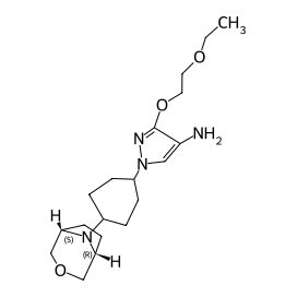 CCOCCOc1nn(C2CCC(N3[C@@H]4CC[C@H]3COC4)CC2)cc1N